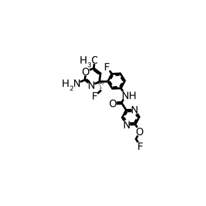 CC1=C[C@@](CF)(c2cc(NC(=O)c3cnc(OCF)cn3)ccc2F)N=C(N)O1